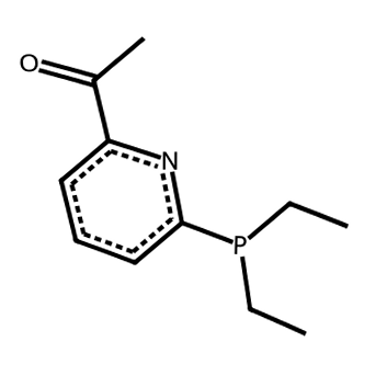 CCP(CC)c1cccc(C(C)=O)n1